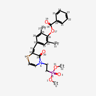 CCOP(=O)(CCN1C=CSC(=Cc2cc(C(C)C)c(OC(=O)c3ccccc3)c(C(C)C)c2)C1=O)OCC